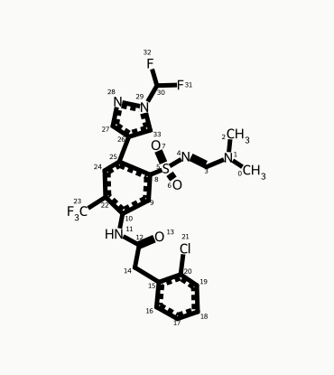 CN(C)/C=N/S(=O)(=O)c1cc(NC(=O)Cc2ccccc2Cl)c(C(F)(F)F)cc1-c1cnn(C(F)F)c1